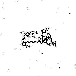 C=C(F)C(O)(CC=C[C@H]1CC[C@H](O)[C@@H]1CC=CCCCC(=O)OC(C/C=C/[C@H]1CCC(=O)[C@@H]1C/C=C\CCCC(=O)O)(CCCC)C(=C)F)CCCC